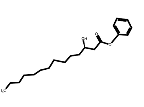 CCCCCCCCCCC[C@@H](O)CC(=O)Oc1ccccc1